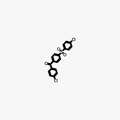 O=C(c1ccc(Cl)cc1)c1ccc(S(=O)(=O)c2ccc(Cl)cc2)cc1